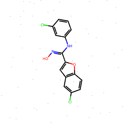 O/N=C(/Nc1cccc(Cl)c1)c1cc2cc(Cl)ccc2o1